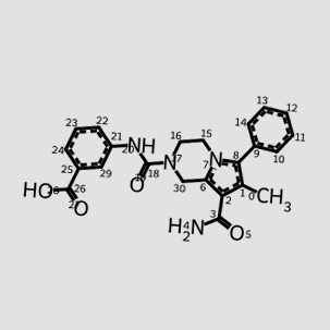 Cc1c(C(N)=O)c2n(c1-c1ccccc1)CCN(C(=O)Nc1cccc(C(=O)O)c1)C2